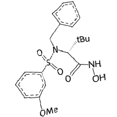 COc1cccc(S(=O)(=O)N(Cc2ccccc2)[C@@H](C(=O)NO)C(C)(C)C)c1